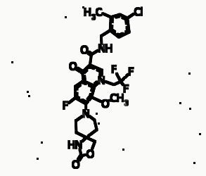 COc1c(N2CCC3(CC2)COC(=O)N3)c(F)cc2c(=O)c(C(=O)NCc3ccc(Cl)cc3C)cn(CC(F)(F)F)c12